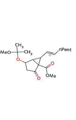 CCCCC/C=C/C1C2C(OC(C)(C)OC)CC(=O)C12C(=O)OC